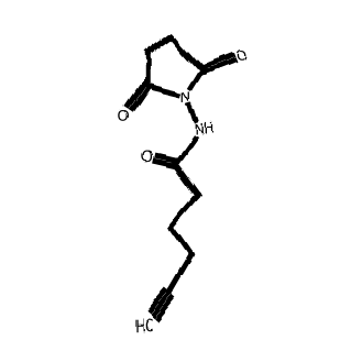 C#CCCCC(=O)NN1C(=O)CCC1=O